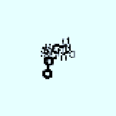 CS(=O)(=O)N[C@H]1CCc2c(Cl)nc(Cl)c(=O)n2[C@H]1Cc1cccc(-c2ccccc2)c1